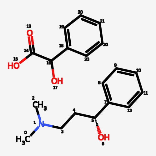 CN(C)CC[C@@H](O)c1ccccc1.O=C(O)C(O)c1ccccc1